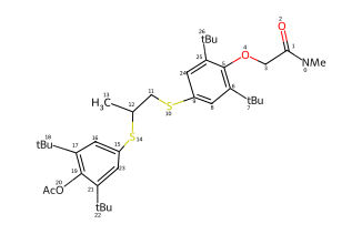 CNC(=O)COc1c(C(C)(C)C)cc(SCC(C)Sc2cc(C(C)(C)C)c(OC(C)=O)c(C(C)(C)C)c2)cc1C(C)(C)C